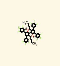 CCCCCc1c(-c2cc(F)c(F)c(F)c2)cc(-c2cc(F)c(F)c(F)c2)c(OC)c1-c1c(CCCCC)c(-c2cc(F)c(F)c(F)c2)cc(-c2cc(F)c(F)c(F)c2)c1OC